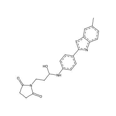 Cc1ccc2nc(-c3ccc(NC(O)CCN4C(=O)CCC4=O)cc3)sc2c1